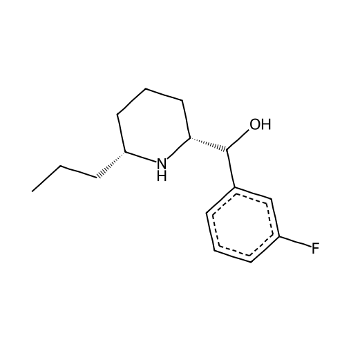 CCC[C@@H]1CCC[C@H](C(O)c2cccc(F)c2)N1